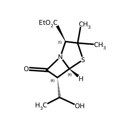 CCOC(=O)[C@@H]1N2C(=O)[C@@H](C(C)O)[C@H]2SC1(C)C